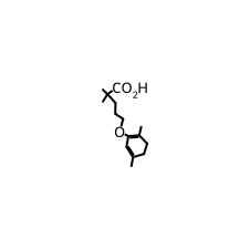 CC1=CC(OCCCC(C)(C)C(=O)O)=C(C)CC1